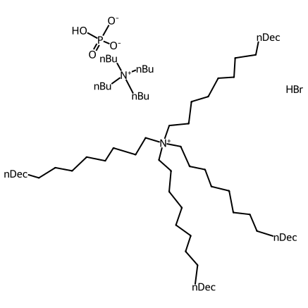 Br.CCCCCCCCCCCCCCCCCC[N+](CCCCCCCCCCCCCCCCCC)(CCCCCCCCCCCCCCCCCC)CCCCCCCCCCCCCCCCCC.CCCC[N+](CCCC)(CCCC)CCCC.O=P([O-])([O-])O